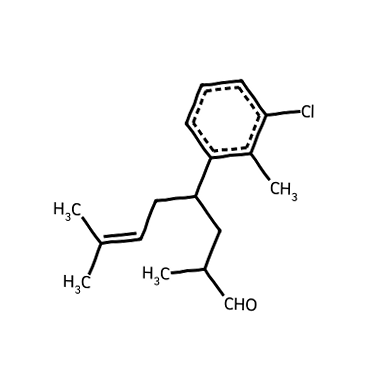 CC(C)=CCC(CC(C)C=O)c1cccc(Cl)c1C